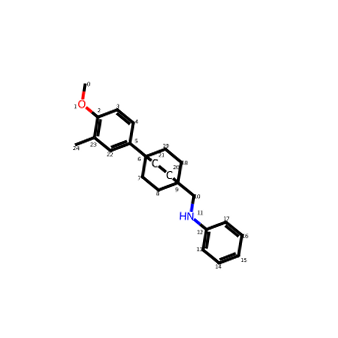 COc1ccc(C23CCC(CNc4ccccc4)(CC2)CC3)cc1C